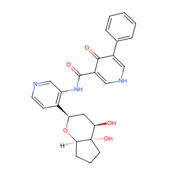 O=C(Nc1cnccc1[C@H]1C[C@@H](O)[C@@]2(O)CCC[C@H]2O1)c1c[nH]cc(-c2ccccc2)c1=O